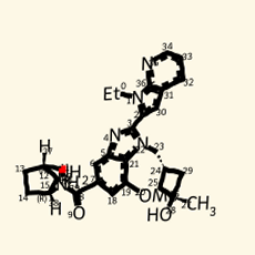 CCn1c(-c2nc3cc(C(=O)N4C[C@H]5CC[C@@H]4[C@@H]5N)cc(OC)c3n2C[C@H]2C[C@@](C)(O)C2)cc2cccnc21